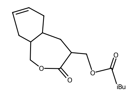 CCC(C)C(=O)OCC1CC2CC=CCC2COC1=O